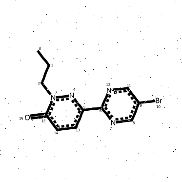 CCCn1nc(-c2ncc(Br)cn2)ccc1=O